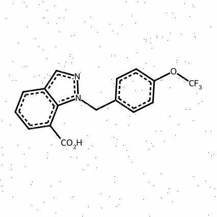 O=C(O)c1cccc2cnn(Cc3ccc(OC(F)(F)F)cc3)c12